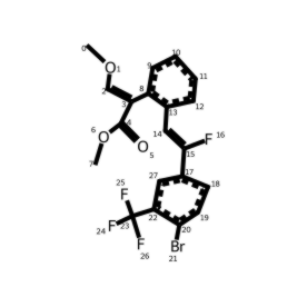 CO/C=C(/C(=O)OC)c1ccccc1/C=C(\F)c1ccc(Br)c(C(F)(F)F)c1